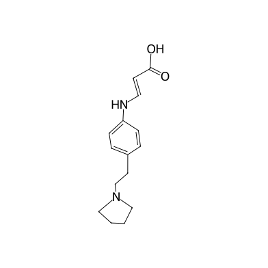 O=C(O)C=CNc1ccc(CCN2CCCC2)cc1